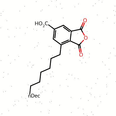 [CH2]CCCCCCCCCCCCCCCc1cc(C(=O)O)cc2c1C(=O)OC2=O